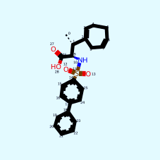 C[C@H](C1=CCCC=CC1)[C@@H](NS(=O)(=O)c1ccc(-c2ccccc2)cc1)C(=O)O